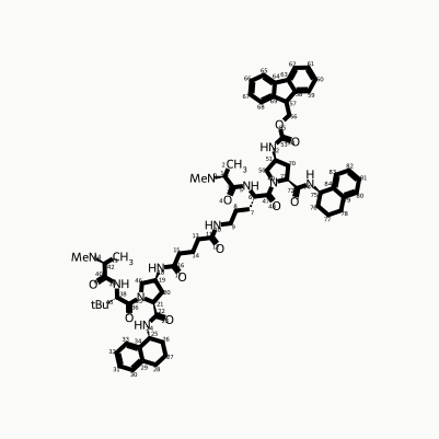 CN[C@@H](C)C(=O)N[C@@H](CCCNC(=O)CCCC(=O)N[C@H]1C[C@@H](C(=O)N[C@@H]2CCCc3ccccc32)N(C(=O)[C@@H](NC(=O)[C@H](C)NC)C(C)(C)C)C1)C(=O)N1C[C@@H](NC(=O)OCC2c3ccccc3-c3ccccc32)C[C@H]1C(=O)N[C@@H]1CCCc2ccccc21